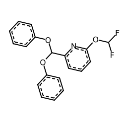 FC(F)Oc1cccc(C(Oc2ccccc2)Oc2ccccc2)n1